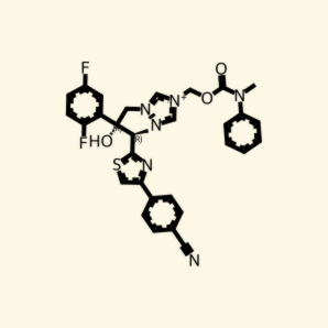 C[C@@H](c1nc(-c2ccc(C#N)cc2)cs1)[C@](O)(Cn1c[n+](COC(=O)N(C)c2ccccc2)cn1)c1cc(F)ccc1F